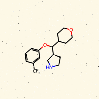 FC(F)(F)c1cccc(O[C@@H](C2CCOCC2)[C@H]2CCNC2)c1